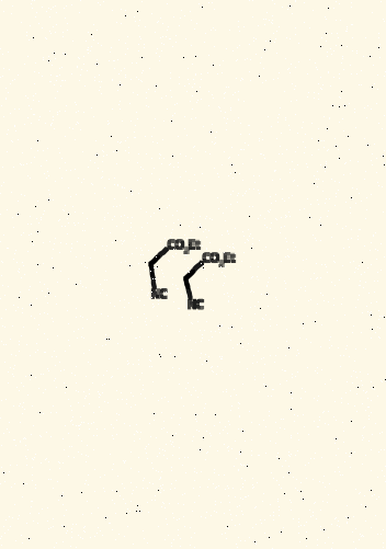 [C-]#[N+]CC(=O)OCC.[C-]#[N+]CC(=O)OCC